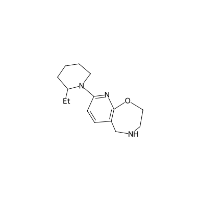 CCC1CCCCN1c1ccc2c(n1)OCCNC2